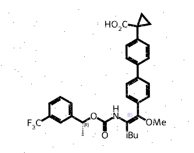 CCC(C)/C(NC(=O)O[C@H](C)c1cccc(C(F)(F)F)c1)=C(\OC)c1ccc(-c2ccc(C3(C(=O)O)CC3)cc2)cc1